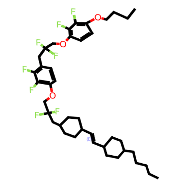 CCCCCC1CCC(/C=C/C2CCC(CC(F)(F)COc3ccc(CC(F)(F)COc4ccc(OCCCC)c(F)c4F)c(F)c3F)CC2)CC1